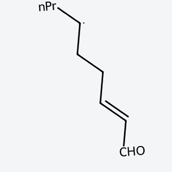 CCC[CH]CCC=CC=O